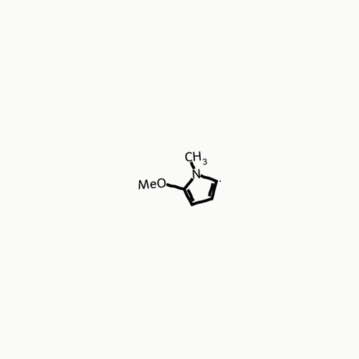 COc1cc[c]n1C